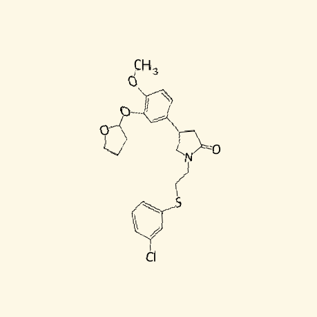 COc1ccc(C2CC(=O)N(CCSc3cccc(Cl)c3)C2)cc1OC1CCCO1